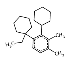 CCC1(c2ccc(C)c(C)c2C2CCCCC2)CCCCC1